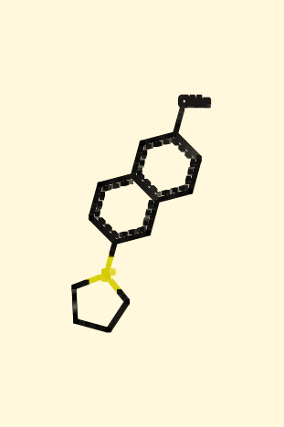 COc1ccc2cc([S+]3CCCC3)ccc2c1